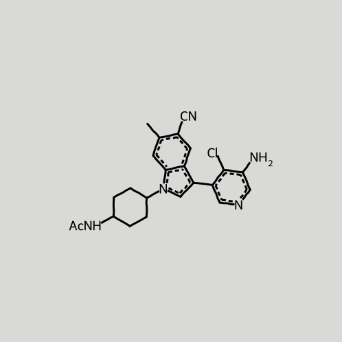 CC(=O)NC1CCC(n2cc(-c3cncc(N)c3Cl)c3cc(C#N)c(C)cc32)CC1